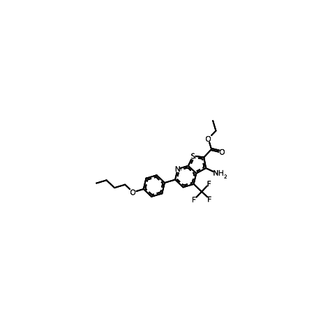 CCCCOc1ccc(-c2cc(C(F)(F)F)c3c(N)c(C(=O)OCC)sc3n2)cc1